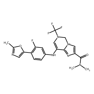 Cc1ncc(-c2ccc(NC3=CN(C(F)(F)F)C[N+]4C=C(C(=O)N(C)C)N=C34)cc2F)o1